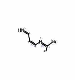 C/C(Br)=N\C=C/C=N